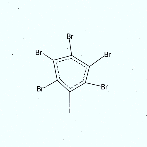 Brc1c(Br)c(Br)c(I)c(Br)c1Br